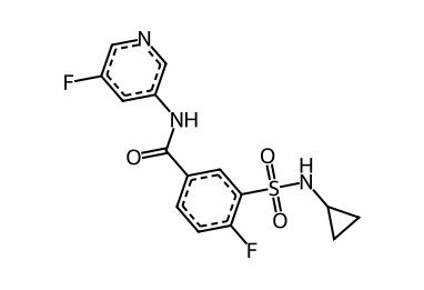 O=C(Nc1cncc(F)c1)c1ccc(F)c(S(=O)(=O)NC2CC2)c1